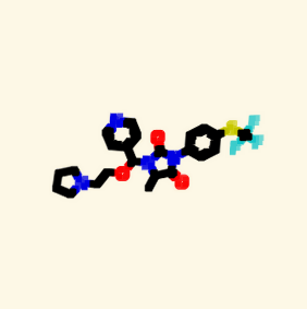 CC1C(=O)N(c2ccc(SC(F)(F)F)cc2)C(=O)N1C(OCCN1CCCC1)c1ccncc1